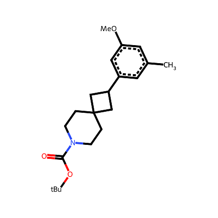 COc1cc(C)cc(C2CC3(CCN(C(=O)OC(C)(C)C)CC3)C2)c1